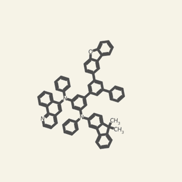 CC1(C)c2ccccc2-c2cc(N(c3ccccc3)c3cc(-c4cc(-c5ccccc5)cc(-c5ccc6oc7ccccc7c6c5)c4)cc(N(c4ccccc4)c4cc5cccnc5c5ccccc45)c3)ccc21